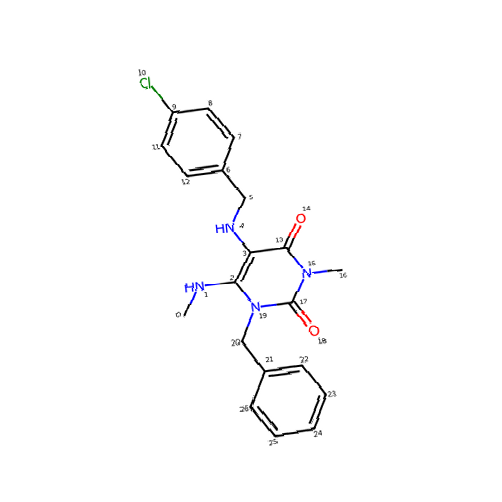 CNc1c(NCc2ccc(Cl)cc2)c(=O)n(C)c(=O)n1Cc1ccccc1